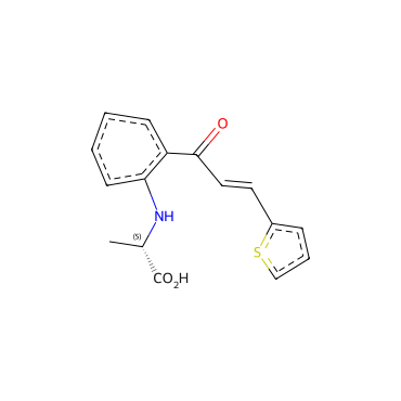 C[C@H](Nc1ccccc1C(=O)C=Cc1cccs1)C(=O)O